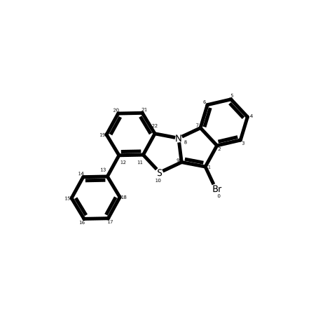 Brc1c2ccccc2n2c1sc1c(-c3ccccc3)cccc12